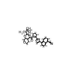 CN[C@@H](C)C(=O)N[C@H](C(=O)N1CCC[C@H]1c1nc(-c2cccc3c(C#N)cccc23)cs1)C1CCOCC1